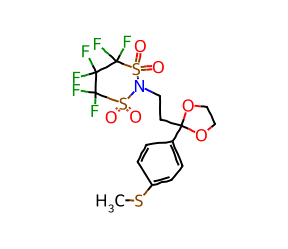 CSc1ccc(C2(CCN3S(=O)(=O)C(F)(F)C(F)(F)C(F)(F)S3(=O)=O)OCCO2)cc1